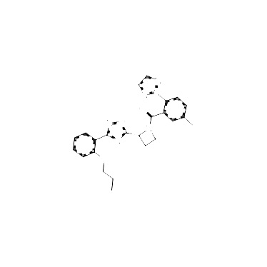 CCCOc1ccccc1-c1noc([C@@H]2CCN2C(=O)c2cc(C)ccc2-n2nccn2)n1